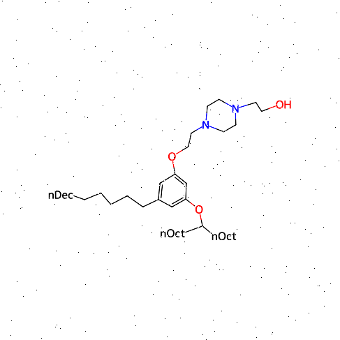 CCCCCCCCCCCCCCCc1cc(OCCN2CCN(CCO)CC2)cc(OC(CCCCCCCC)CCCCCCCC)c1